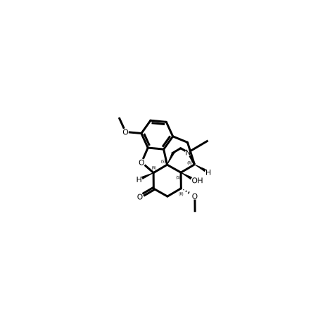 COc1ccc2c3c1O[C@H]1C(=O)C[C@@H](OC)[C@@]4(O)[C@@H](C2)N(C)CC[C@]314